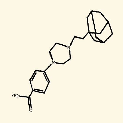 O=C(O)c1ccc(N2CCN(CCC34CC5CC(CC(C5)C3)C4)CC2)cc1